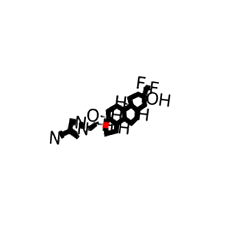 C[C@]12CC[C@H]3[C@@H](CC[C@@H]4C[C@@](O)(C(F)F)CC[C@@H]43)[C@@H]1CC[C@@H]2C(=O)Cn1cc(C#N)cn1